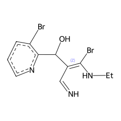 CCN/C(Br)=C(\C=N)C(O)c1ncccc1Br